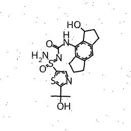 CC(C)(O)c1ncc(S(N)(=O)=NC(=O)Nc2c3c(cc4c2C(O)CC4)CCC3)s1